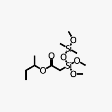 CCC(C)OC(=O)C[Si](OC)(OC)O[Si](C)(C)OC